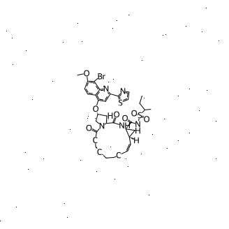 CCC(C)S(=O)(=O)NC(=O)[C@@]12C[C@@H]1/C=C\CCCCCCC(=O)N1C[C@H](Oc3cc(-c4nccs4)nc4c(Br)c(OC)ccc34)C[C@H]1C(=O)N2